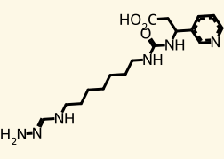 NN=CNCCCCCCCNC(=O)NC(CC(=O)O)c1cccnc1